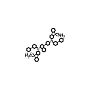 CCC1(CC)c2ccccc2-c2ccc(N(c3ccc(-c4ccc(N(c5cccc(-c6ccccc6)c5)c5ccc6c(c5)C(CC)(CC)c5ccccc5-6)c5ccccc45)cc3)c3cccc(-c4ccccc4)c3)cc21